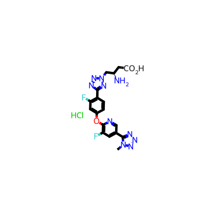 Cl.Cn1nnnc1-c1cnc(Oc2ccc(-c3nnn(C[C@@H](N)CC(=O)O)n3)c(F)c2)c(F)c1